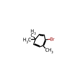 CC1=C(Br)C=CC(C)(C)C=C1